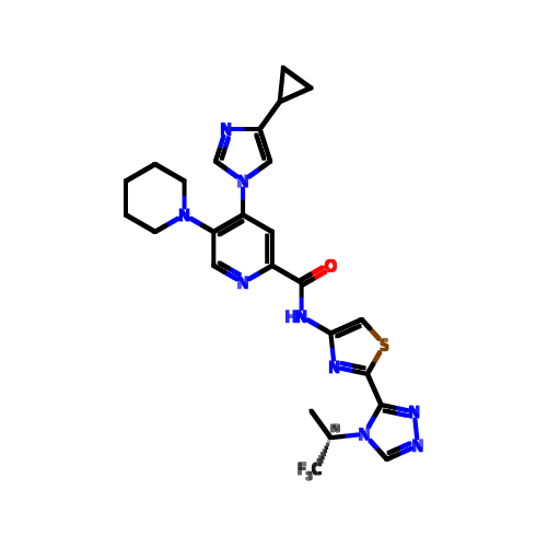 C[C@H](n1cnnc1-c1nc(NC(=O)c2cc(-n3cnc(C4CC4)c3)c(N3CCCCC3)cn2)cs1)C(F)(F)F